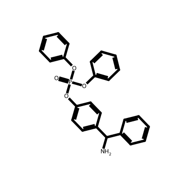 NC(c1ccccc1)c1ccc(OP(=O)(Oc2ccccc2)Oc2ccccc2)cc1